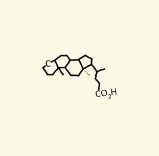 CC(CCC(=O)O)C1CCC2C3CCC4CCCCC4(C)C3CC[C@]12C